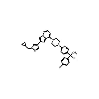 CC(N)(c1ccc(F)cc1)c1cnc(N2CCN(c3ncnn4cc(-c5cnn(CC6CC6)c5)cc34)CC2)nc1